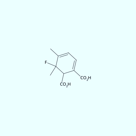 CC1=CC=C(C(=O)O)C(C(=O)O)C1(C)F